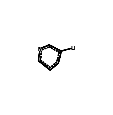 [Li][c]1cccnc1